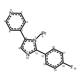 CC(C)n1c(-c2ccncc2)cnc1-c1ccc(F)cc1